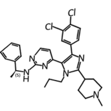 CCCn1c(C2CCN(C)CC2)nc(-c2ccc(Cl)c(Cl)c2)c1-c1ccnc(N[C@@H](C)c2ccccc2)n1